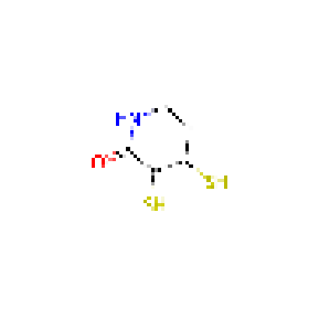 O=C1NCCC(S)C1S